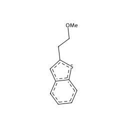 [CH2]OCCc1cc2ccccc2s1